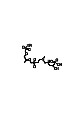 CCCS(=O)(=O)COCC(C)OCS(=O)(=O)CCN(C)CCCC(O)P(=O)(O)O